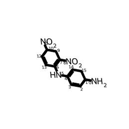 NC1C=CC(NC2=C([N+](=O)[O-])CC([N+](=O)[O-])C=C2)=CC1